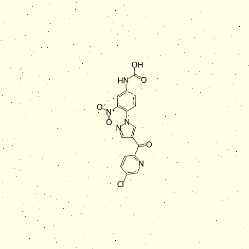 O=C(O)Nc1ccc(-n2cc(C(=O)c3ccc(Cl)cn3)cn2)c([N+](=O)[O-])c1